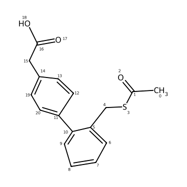 CC(=O)SCc1ccccc1-c1ccc(CC(=O)O)cc1